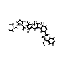 CC[C@@H](NC(=O)c1ccc2c(c1)/C(=C/c1[nH]c(C)c(C(=O)N3CCC[C@H]3CN(CC)CC)c1C)C(=O)N2)c1ccccc1